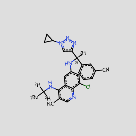 [2H]C([2H])(Nc1c(C#N)cnc2c(Cl)cc(N[C@@]([2H])(c3cccc(C#N)c3)c3cn(C4CC4)nn3)cc12)C(C)(C)C